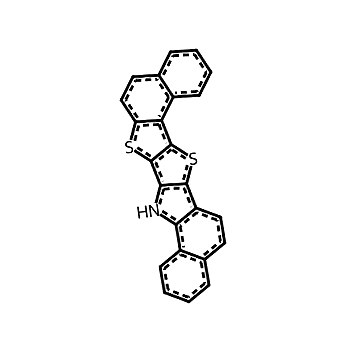 c1ccc2c(c1)ccc1c2[nH]c2c1sc1c2sc2ccc3ccccc3c21